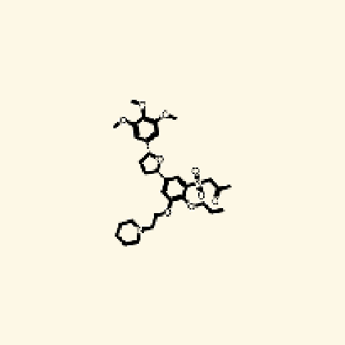 CCCOc1c(OCCN2CCCCC2)cc([C@H]2CC[C@H](c3cc(OC)c(OC)c(OC)c3)O2)cc1S(=O)(=O)CC(C)=O